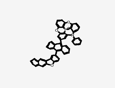 O=P12c3c4cccc3Oc3cc(-c5c6ccccc6c(-c6ccc7oc8cc9ccccc9cc8c7c6)c6ccccc56)cc(c31)N(c1ccccc1)c1cccc(c12)O4